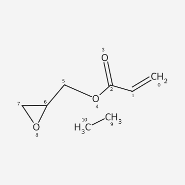 C=CC(=O)OCC1CO1.CC